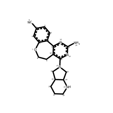 N#Cc1ccc2c(c1)OCCc1c-2nc(N)nc1N1CC2CCCNC2C1